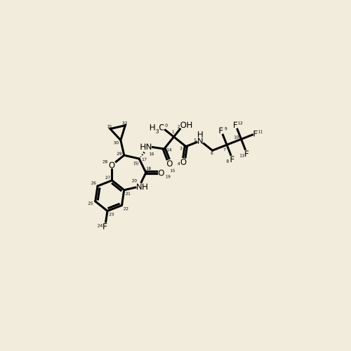 CC(O)(C(=O)NCC(F)(F)C(F)(F)F)C(=O)N[C@@H]1C(=O)Nc2cc(F)ccc2OC1C1CC1